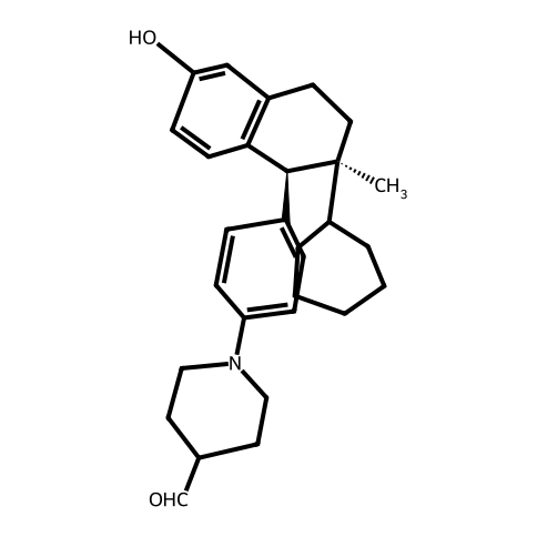 C[C@@]1(C2CCCCC2)CCc2cc(O)ccc2[C@@H]1c1ccc(N2CCC(C=O)CC2)cc1